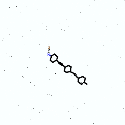 CC1CCC(C#CC2CCC(C#CC3CCC(N=C=S)CC3)CC2)CC1